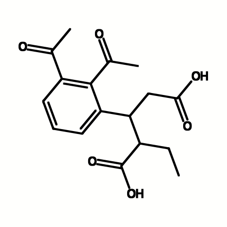 CCC(C(=O)O)C(CC(=O)O)c1cccc(C(C)=O)c1C(C)=O